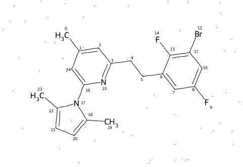 Cc1cc(CCc2cc(F)cc(Br)c2F)nc(-n2c(C)ccc2C)c1